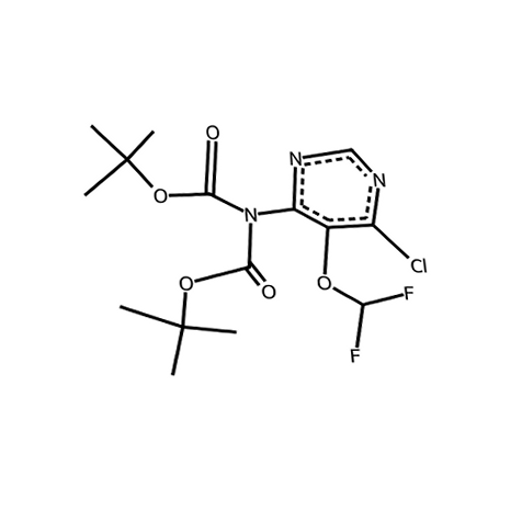 CC(C)(C)OC(=O)N(C(=O)OC(C)(C)C)c1ncnc(Cl)c1OC(F)F